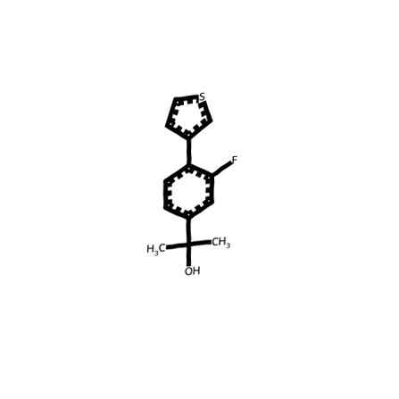 CC(C)(O)c1ccc(-c2ccsc2)c(F)c1